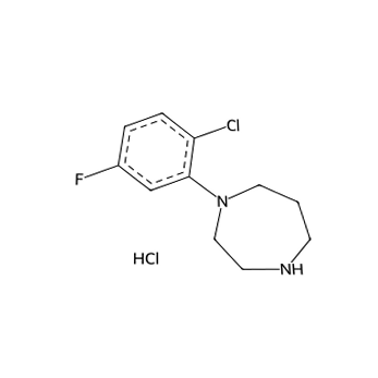 Cl.Fc1ccc(Cl)c(N2CCCNCC2)c1